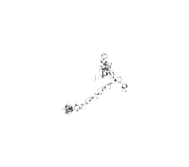 Cc1ncsc1-c1ccc(CNC(=O)[C@@H]2C[C@@H](O)CN2C(=O)[C@H](C(C)C)N2Cc3ccccc3C2=O)c(OCCOCCOCCOCCOCCOc2ccc(B3OC(C)(C)C(C)(C)O3)cc2)c1